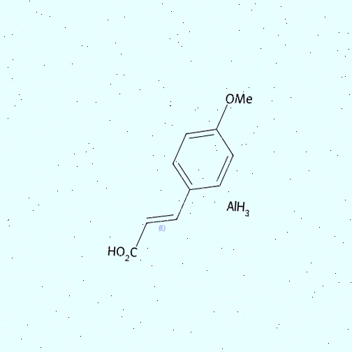 COc1ccc(/C=C/C(=O)O)cc1.[AlH3]